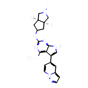 COc1nc(NC2C[C@@H]3CN(C(C)=O)C[C@@H]3C2)nc2[nH]cc(-c3ccn4nccc4c3)c12